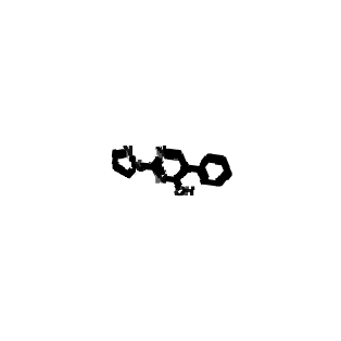 Oc1nc(-n2cccn2)ncc1-c1ccccc1